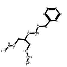 ONOCC(CONO)ONOCc1ccccc1